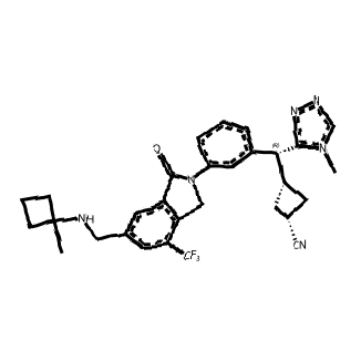 Cn1cnnc1[C@@H](c1cccc(N2Cc3c(cc(CNC4(C)CCC4)cc3C(F)(F)F)C2=O)c1)[C@H]1C[C@@H](C#N)C1